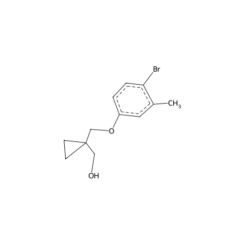 Cc1cc(OCC2(CO)CC2)ccc1Br